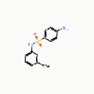 COc1cccc(NS(=O)(=O)c2ccc(N)cc2)c1